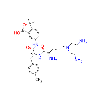 CC1(C)OB(O)c2cc(NC(=O)[C@@H](Cc3ccc(C(F)(F)F)cc3)NC(=O)[C@@H](N)CCCN(CCN)CCN)ccc21